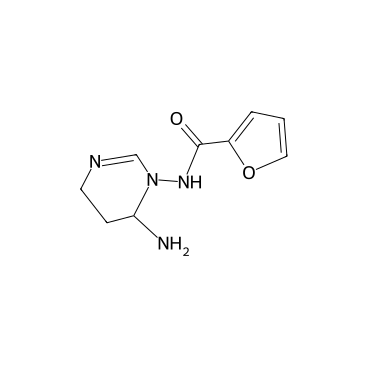 NC1CCN=CN1NC(=O)c1ccco1